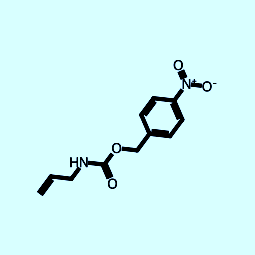 C=CCNC(=O)OCc1ccc([N+](=O)[O-])cc1